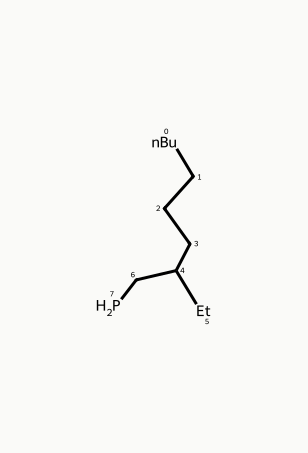 CCCCCCCC(CC)CP